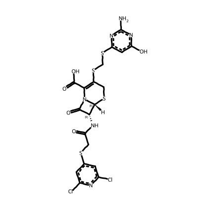 Nc1nc(O)cc(SCSC2=C(C(=O)O)N3C(=O)[C@@H](NC(=O)CSc4cc(Cl)nc(Cl)c4)[C@H]3SC2)n1